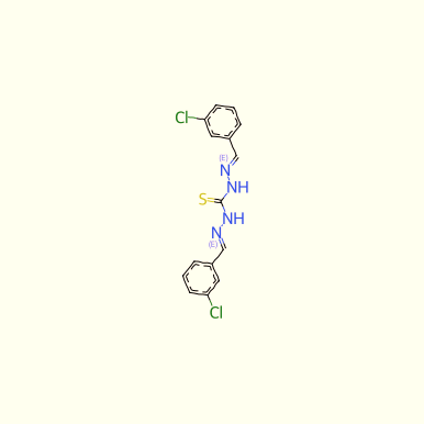 S=C(N/N=C/c1cccc(Cl)c1)N/N=C/c1cccc(Cl)c1